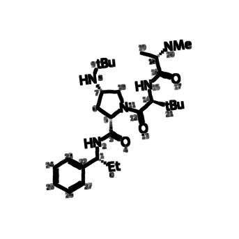 CC[C@@H](NC(=O)[C@@H]1C[C@H](NC(C)(C)C)CN1C(=O)[C@@H](NC(=O)[C@H](C)NC)C(C)(C)C)c1ccccc1